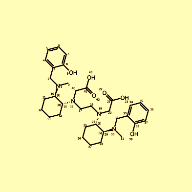 CN(Cc1ccccc1O)[C@@H]1CCCC[C@H]1N(CCN(CC(=O)O)[C@H]1CCCC[C@@H]1N(C)Cc1ccccc1O)CC(=O)O